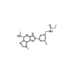 CCC(=O)NCc1cc(F)cc(-c2cc3c(nc(NC)c4ncn(C)c43)[nH]2)c1